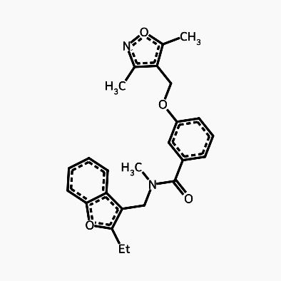 CCc1oc2ccccc2c1CN(C)C(=O)c1cccc(OCc2c(C)noc2C)c1